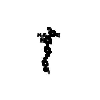 Cc1[nH]c(-c2ccc(OCCCC3CCN(C)CC3)cc2)nc1-c1cc(Cl)cc(Cl)c1